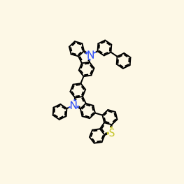 c1ccc(-c2cccc(-n3c4ccccc4c4cc(-c5ccc6c(c5)c5cc(-c7cccc8sc9ccccc9c78)ccc5n6-c5ccccc5)ccc43)c2)cc1